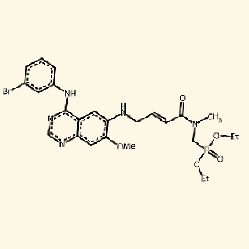 CCOP(=O)(CN(C)C(=O)C=CCNc1cc2c(Nc3cccc(Br)c3)ncnc2cc1OC)OCC